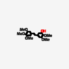 COc1cc(C=Cc2cc(OC)c(OC)c(OC)c2)cc(O)c1OC